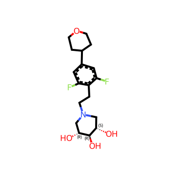 O[C@H]1[C@H](O)CN(CCc2c(F)cc(C3CCOCC3)cc2F)C[C@@H]1O